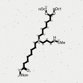 CCCCCCCCCOC(=O)CCCCCCCN(CCCCCCC(OCCCCCCCC)OCCCCCCCC)CCCNSC